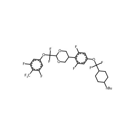 CCCCC1CCC(C(F)(F)Oc2cc(F)c(C3COC(C(F)(F)Oc4cc(F)c(C(F)(F)F)c(F)c4)OC3)c(F)c2)CC1